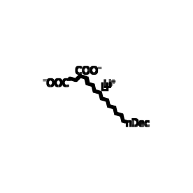 CCCCCCCCCCCCCCCCCCCCC=CC(CCC(=O)[O-])C(=O)[O-].[Li+].[Li+]